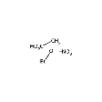 CC(=O)O.CCO[N+](=O)[O-]